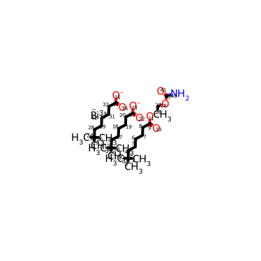 CC(C)(C)CCCCCC(=O)[O-].CC(C)(C)CCCCCC(=O)[O-].CC(C)(C)CCCCCC(=O)[O-].CCOC(N)=O.[Bi+3]